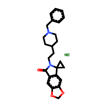 Cl.O=C1c2cc3c(cc2C2(CC2)N1CCC1CCN(Cc2ccccc2)CC1)OCO3